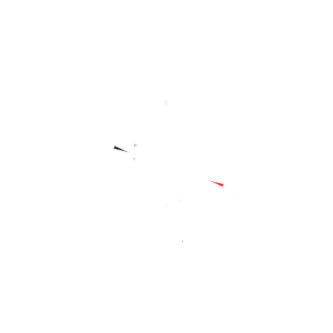 CC(C)[C@@H]1C[C@@H](O)[C@H](F)C[C@H]1C